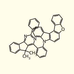 CC1(C)c2ccccc2-c2nc(-c3ccccc3)nc(-c3ccccc3-n3c4ccccc4c4c5c(ccc43)oc3ccccc35)c21